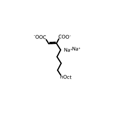 CCCCCCCCCCCC/C(=C/C(=O)[O-])C(=O)[O-].[Na+].[Na+]